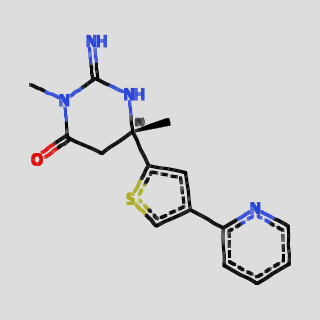 CN1C(=N)N[C@](C)(c2cc(-c3ccccn3)cs2)CC1=O